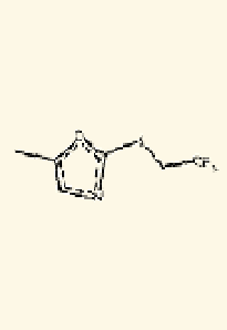 Cc1cnc(SCC(F)(F)F)o1